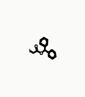 O=C(CI)OC(c1ccccc1)c1ccccc1